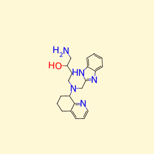 NCC(O)CCN(Cc1nc2ccccc2[nH]1)C1CCCc2cccnc21